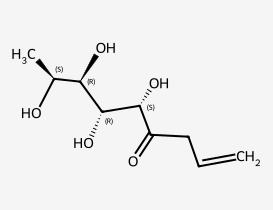 C=CCC(=O)[C@@H](O)[C@H](O)[C@H](O)[C@H](C)O